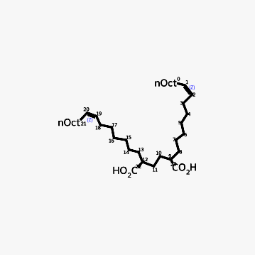 CCCCCCCC/C=C\CCCCCCC(CCC(CCCCCC/C=C\CCCCCCCC)C(=O)O)C(=O)O